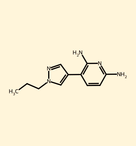 CCCn1cc(-c2ccc(N)nc2N)cn1